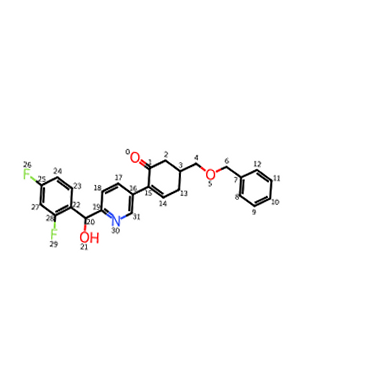 O=C1CC(COCc2ccccc2)CC=C1c1ccc(C(O)c2ccc(F)cc2F)nc1